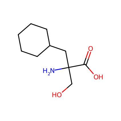 NC(CO)(CC1CCCCC1)C(=O)O